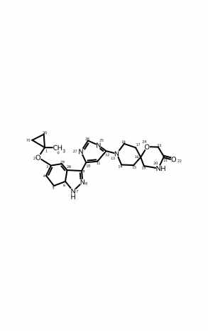 CC1(OC2=CCC3NN=C(c4cc(N5CCC6(CC5)CNC(=O)CO6)ncn4)C3=C2)CC1